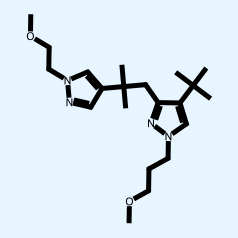 COCCCn1cc(C(C)(C)C)c(CC(C)(C)c2cnn(CCOC)c2)n1